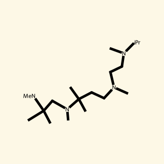 CNC(C)(C)CN(C)C(C)(C)CCN(C)CCN(C)C(C)C